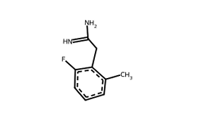 Cc1cccc(F)c1CC(=N)N